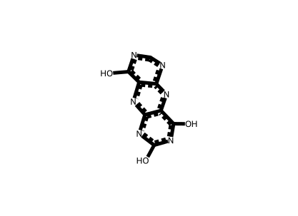 Oc1nc(O)c2nc3ncnc(O)c3nc2n1